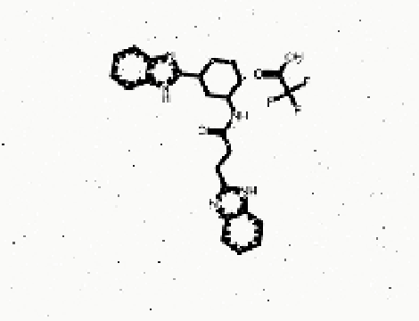 O=C(CCc1nc2ccccc2[nH]1)NC1CCCC(c2nc3ccccc3[nH]2)C1.O=C(O)C(F)(F)F